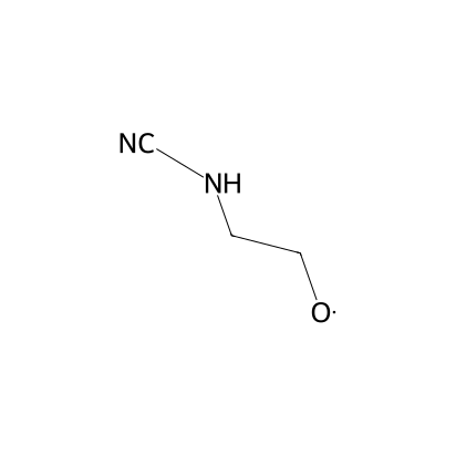 N#CNCC[O]